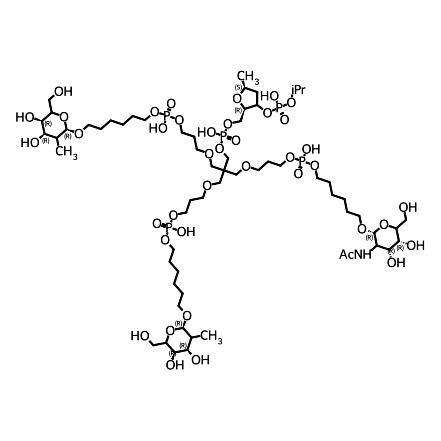 CC(=O)NC1[C@H](OCCCCCCOP(=O)(O)OCCCOCC(COCCCOP(=O)(O)OCCCCCCO[C@@H]2OC(CO)[C@H](O)[C@H](O)C2C)(COCCCOP(=O)(O)OCCCCCCO[C@@H]2OC(CO)[C@H](O)[C@H](O)C2C)COP(=O)(O)OC[C@H]2O[C@@H](C)CC2OP(=O)(O)OC(C)C)OC(CO)[C@H](O)[C@@H]1O